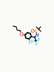 CCCCOc1ccc(/C(=N\[S@@+]([O-])C(C)(C)C)C(F)(F)F)c(F)c1